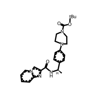 C[C@@H](NC(=O)c1cn2ccccc2n1)c1ccc(N2CCN(C(=O)OC(C)(C)C)CC2)cc1